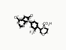 O=C(O)N1CCOCC1c1ccc(-n2c(Cl)cc3c(Cl)ncnc32)cc1C(F)(F)F